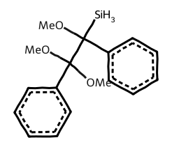 COC([SiH3])(c1ccccc1)C(OC)(OC)c1ccccc1